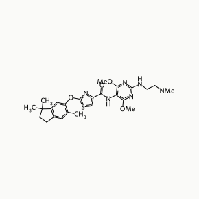 CNCCNc1nc(OC)c(NC(=O)c2csc(Oc3cc4c(cc3C)CCC4(C)C)n2)c(OC)n1